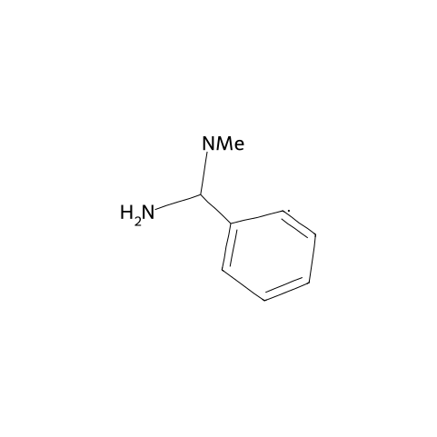 CNC(N)c1[c]cccc1